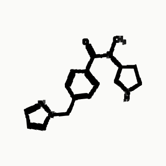 CN(C(=O)c1ccc(Cn2cccn2)cc1)C1CCNC1